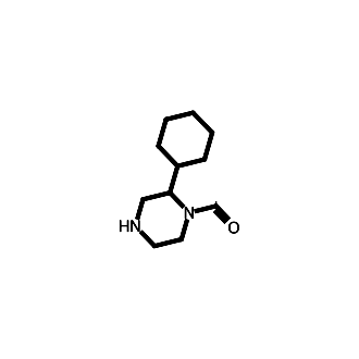 O=[C]N1CCNCC1C1CCCCC1